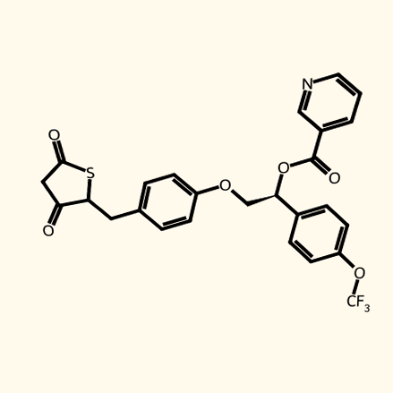 O=C1CC(=O)C(Cc2ccc(OC[C@@H](OC(=O)c3cccnc3)c3ccc(OC(F)(F)F)cc3)cc2)S1